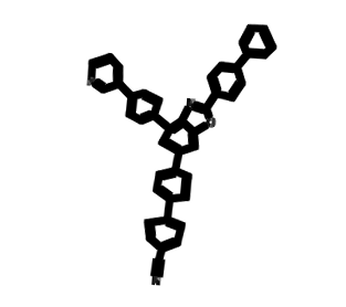 N#Cc1ccc(-c2ccc(-c3cc(-c4ccc(-c5cccnc5)cc4)c4nc(-c5ccc(-c6ccccc6)cc5)oc4c3)cc2)cc1